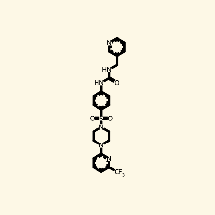 O=C(NCc1cccnc1)Nc1ccc(S(=O)(=O)N2CCN(c3cccc(C(F)(F)F)n3)CC2)cc1